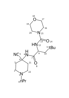 CCCN1CCC(C#N)(NC(=O)C(CC(C)(C)C)NC(=O)N2CCOCC2)CC1